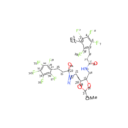 CCc1c(F)c(F)c(F)c(CCC(=O)NCC2OC(OC)OC2CNC(=O)CCc2c(F)c(F)c(F)c(F)c2F)c1F